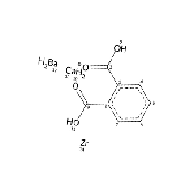 O=C(O)c1ccccc1C(=O)O.[BaH2].[CaH2].[Zr]